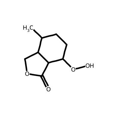 CC1CCC(OO)C2C(=O)OCC12